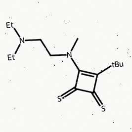 CCN(CC)CCN(C)c1c(C(C)(C)C)c(=S)c1=S